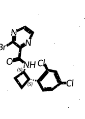 O=C(N[C@H]1CC[C@H]1c1ccc(Cl)cc1Cl)c1nccnc1Br